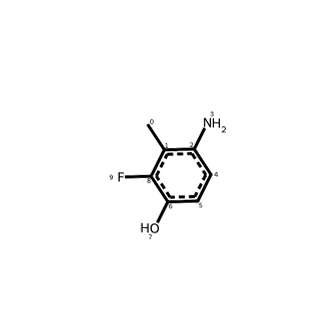 Cc1c(N)ccc(O)c1F